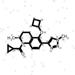 C[C@H]1CCc2c(ccc(-c3cn(C)nn3)c2OC2CCC2)N1C(=O)C1CC1